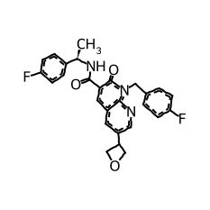 C[C@@H](NC(=O)c1cc2cc(C3COC3)cnc2n(Cc2ccc(F)cc2)c1=O)c1ccc(F)cc1